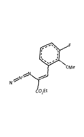 CCOC(=O)C(=Cc1cccc(F)c1OC)N=[N+]=[N-]